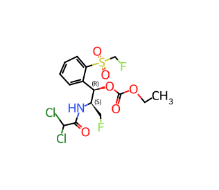 CCOC(=O)O[C@H](c1ccccc1S(=O)(=O)CF)[C@@H](CF)NC(=O)C(Cl)Cl